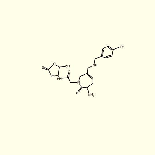 CC(C)c1ccc(CNCC2=CCC(N)C(=O)N(CC(=O)NC3CC(=O)OC3O)C2)cc1